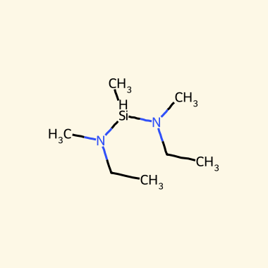 CCN(C)[SiH](C)N(C)CC